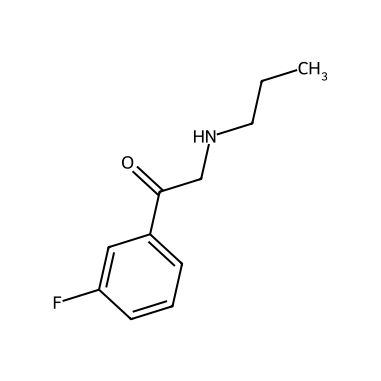 CCCNCC(=O)c1cccc(F)c1